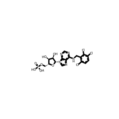 O=P(O)(O)OC[C@H]1O[C@@H](n2cnc3c(NCc4c(Cl)ccc(Cl)c4Cl)ncnc32)[C@H](O)[C@@H]1O